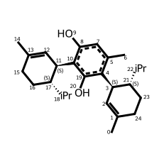 CC1=C[C@@H](c2c(C)cc(O)c([C@@H]3C=C(C)CC[C@H]3C(C)C)c2O)[C@H](C(C)C)CC1